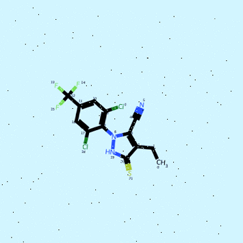 CCc1c(C#N)n(-c2c(Cl)cc(C(F)(F)F)cc2Cl)[nH]c1=S